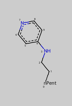 CCCCCCCNc1ccncc1